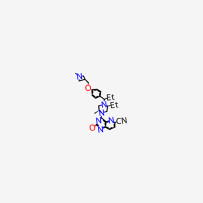 CCC(c1ccc(OCC2CN(C)C2)cc1)N1C[C@H](C)N(c2nc(=O)n(C)c3ccc(C#N)nc23)C[C@@H]1CC